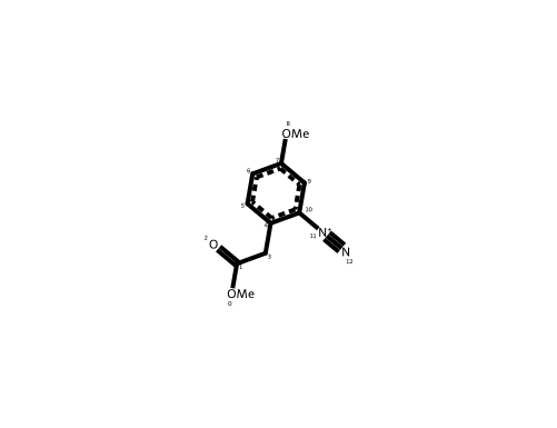 COC(=O)Cc1ccc(OC)cc1[N+]#N